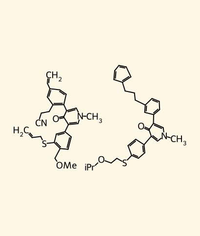 C=CCSc1cc(-c2cn(C)cc(-c3ccc(C=C)cc3CCC#N)c2=O)ccc1COC.CC(C)OCCSc1ccc(-c2cn(C)cc(-c3cccc(CCCc4ccccc4)c3)c2=O)cc1